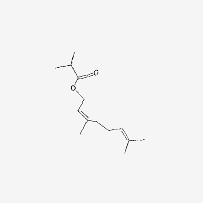 CC(C)=CCC/C(C)=C\COC(=O)C(C)C